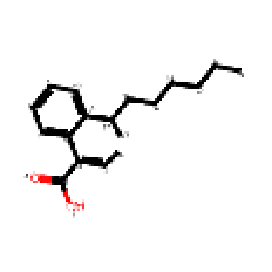 C/C=C(/C(=O)O)c1ccccc1C(C)CCCCCC